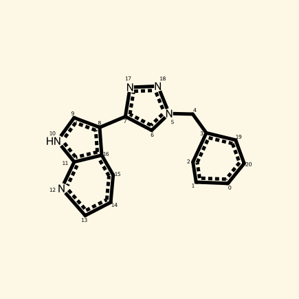 c1ccc(Cn2cc(-c3c[nH]c4ncccc34)nn2)cc1